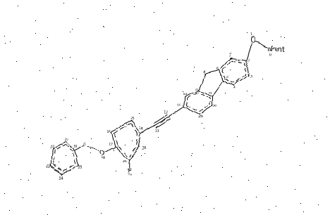 CCCCCOc1ccc2c(c1)Cc1cc(C#Cc3ccc(OCc4ccccc4)c(F)c3)ccc1-2